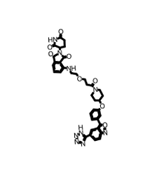 O=C1CCC(N2C(=O)c3cccc(NCCOCCC(=O)N4CCC(Oc5cccc(-c6onc7ccc(-c8nnn[nH]8)cc67)c5)CC4)c3C2=O)C(=O)N1